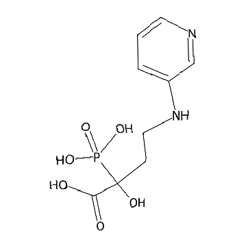 O=C(O)C(O)(CCNc1cccnc1)P(=O)(O)O